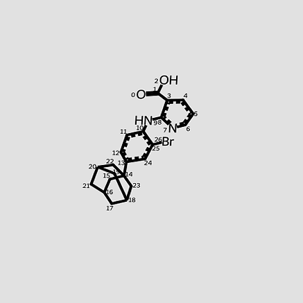 O=C(O)c1cccnc1Nc1ccc(C23CC4CC(CC(C4)C2)C3)cc1Br